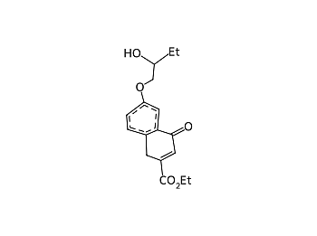 CCOC(=O)C1=CC(=O)c2cc(OCC(O)CC)ccc2C1